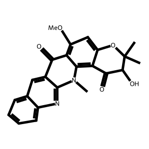 COc1cc2c(c3c1c(=O)c1cc4ccccc4nc1n3C)C(=O)C(O)C(C)(C)O2